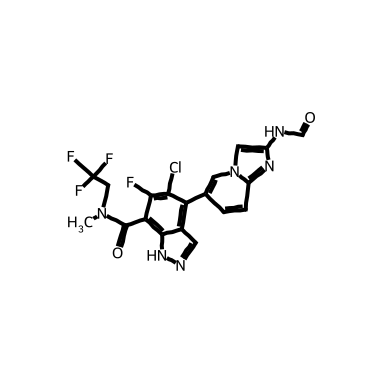 CN(CC(F)(F)F)C(=O)c1c(F)c(Cl)c(-c2ccc3nc(NC=O)cn3c2)c2cn[nH]c12